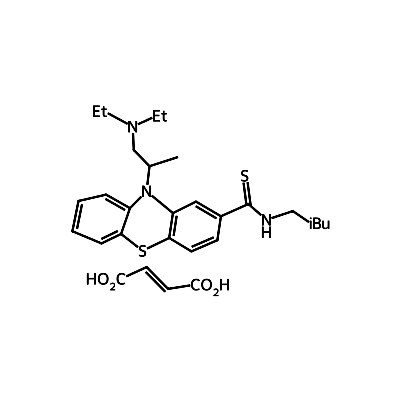 CCC(C)CNC(=S)c1ccc2c(c1)N(C(C)CN(CC)CC)c1ccccc1S2.O=C(O)C=CC(=O)O